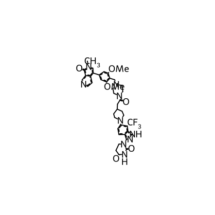 COc1cc(-c2cn(C)c(=O)c3cnccc23)cc(OC)c1CN1CCN(C(=O)CC2CCN(c3ccc4c(N5CCC(=O)NC5=O)n[nH]c4c3C(F)(F)F)CC2)CC1